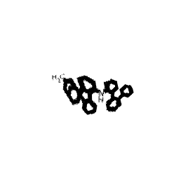 CC1C=C2CC(CCC23c2ccccc2-c2c(Nc4ccccc4-c4ccccc4-c4ccccc4)cccc23)C1